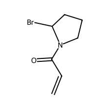 C=CC(=O)N1CCCC1Br